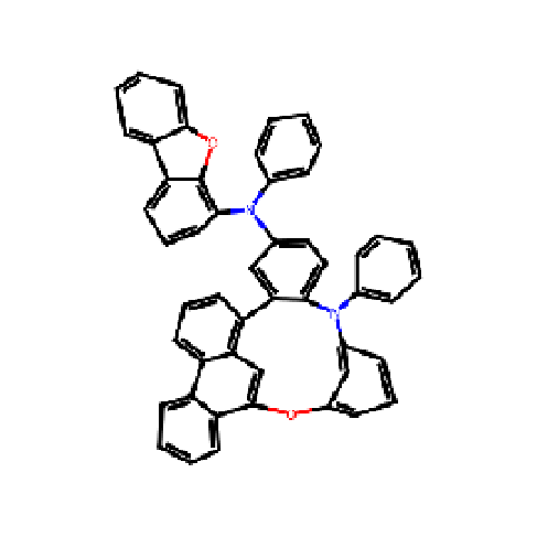 c1ccc(N(c2ccc3c(c2)c2cccc4c5ccccc5c(cc42)oc2cccc(c2)n3-c2ccccc2)c2cccc3c2oc2ccccc23)cc1